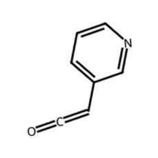 O=C=Cc1cccnc1